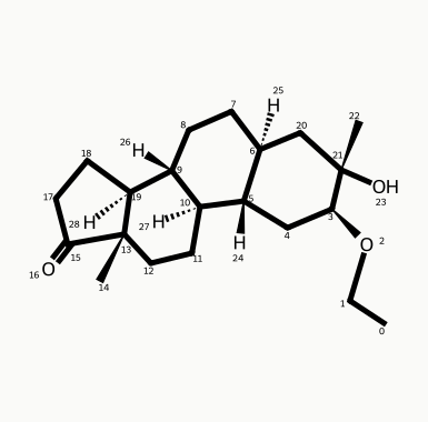 CCO[C@H]1C[C@H]2[C@@H](CC[C@@H]3[C@@H]2CC[C@]2(C)C(=O)CC[C@@H]32)C[C@]1(C)O